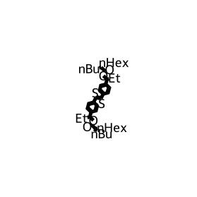 CCCCCCC(CCCC)C(=O)OC(CC)c1ccc2c(c1)sc1c3ccc(C(CC)OC(=O)C(CCCC)CCCCCC)cc3sc21